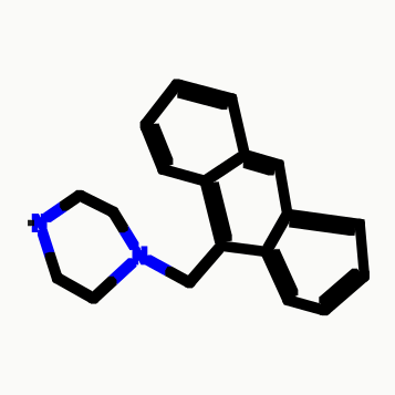 c1ccc2c(CN3CC[N]CC3)c3ccccc3cc2c1